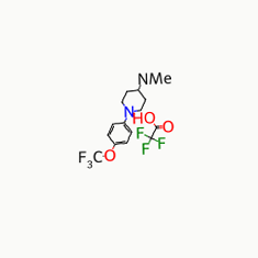 CNC1CCN(c2ccc(OC(F)(F)F)cc2)CC1.O=C(O)C(F)(F)F